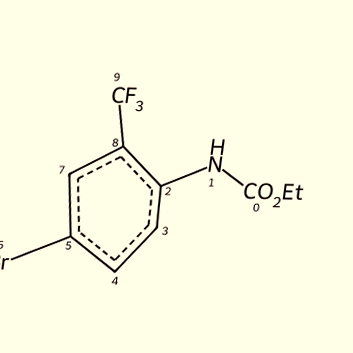 CCOC(=O)Nc1ccc(Br)cc1C(F)(F)F